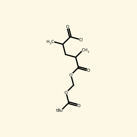 CC(CC(C)C(=O)OCOC(=O)C(C)(C)C)C(=O)Cl